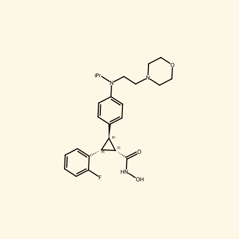 CC(C)N(CCN1CCOCC1)c1ccc([C@H]2[C@H](C(=O)NO)[C@@H]2c2ccccc2F)cc1